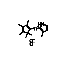 CC1=C(C)C(C)(C)[C]([Ti+2][c]2[nH]ccc2C)=C1C.[Cl-].[Cl-]